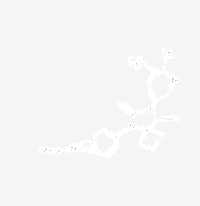 CON1c2ccc(N3C(=S)N(c4cnc(C#N)c(C(F)(F)F)c4)C(=O)C34CCC4)cc21